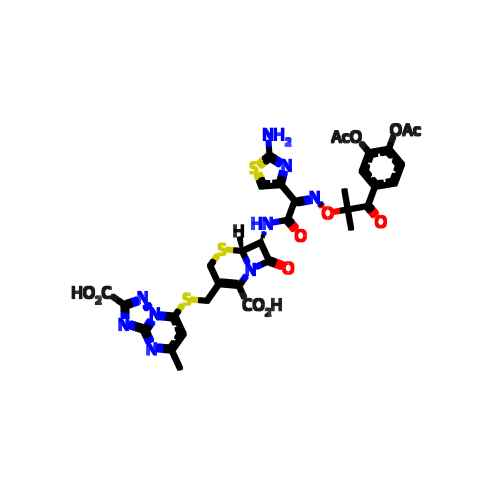 CC(=O)Oc1ccc(C(=O)C(C)(C)O/N=C(\C(=O)N[C@@H]2C(=O)N3C(C(=O)O)=C(CSc4cc(C)nc5nc(C(=O)O)nn45)CS[C@H]23)c2csc(N)n2)cc1OC(C)=O